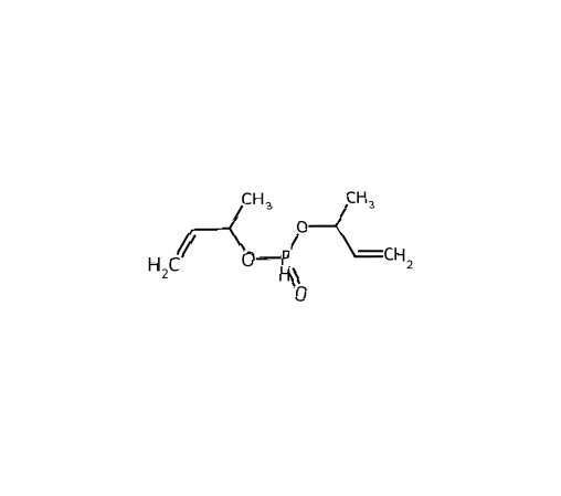 C=CC(C)O[PH](=O)OC(C)C=C